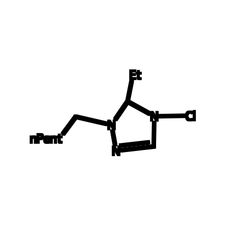 CCCCCCN1N=CN(Cl)C1CC